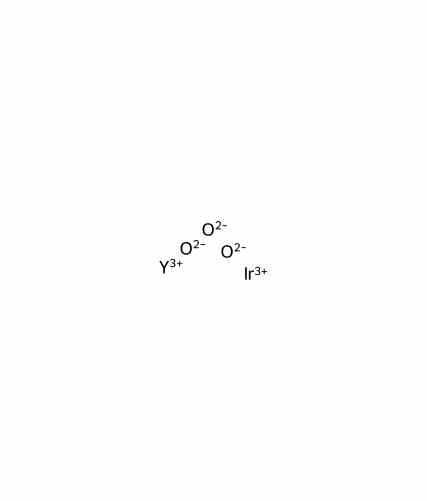 [Ir+3].[O-2].[O-2].[O-2].[Y+3]